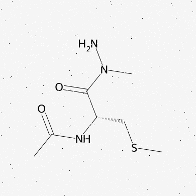 CSC[C@H](NC(C)=O)C(=O)N(C)N